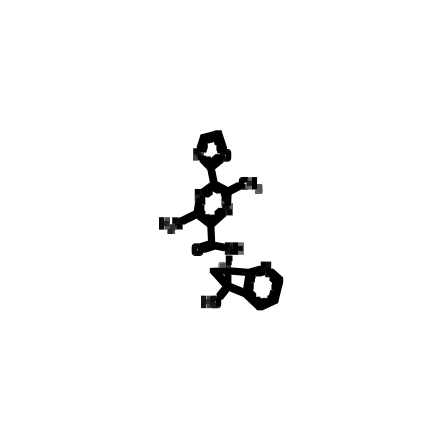 Cc1nc(C(=O)N[C@@]23CC2(O)c2cccnc23)c(N)nc1-c1ncco1